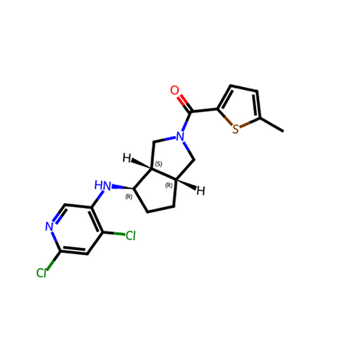 Cc1ccc(C(=O)N2C[C@@H]3CC[C@@H](Nc4cnc(Cl)cc4Cl)[C@@H]3C2)s1